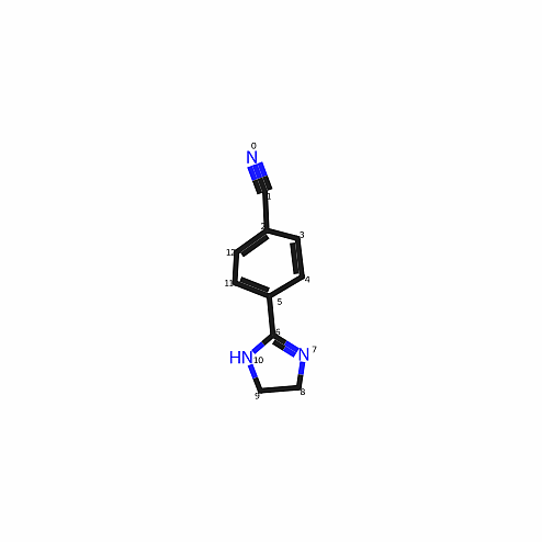 N#Cc1ccc(C2=NCCN2)cc1